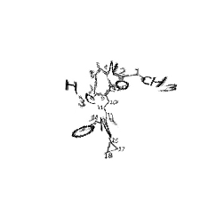 CCc1nc2ccc(C)c(CCCN(C=O)C3CC3)c2o1